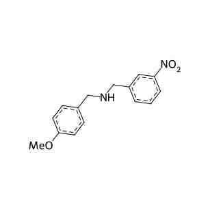 COc1ccc(CNCc2cccc([N+](=O)[O-])c2)cc1